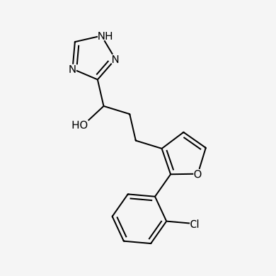 OC(CCc1ccoc1-c1ccccc1Cl)c1nc[nH]n1